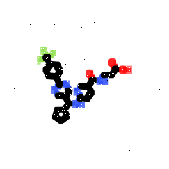 O=C(O)CCNC(=O)c1ccc(NC(c2cnc(-c3ccc(C(F)(F)F)cc3)nc2)C2CCCC2)nc1